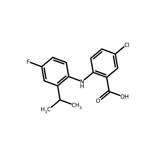 CC(C)c1cc(F)ccc1Nc1ccc(Cl)cc1C(=O)O